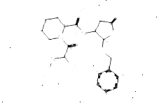 CC(NC(=O)O)C(=O)N1CCCCC1C(=O)NC1CC(=O)OC1OCc1ccccc1